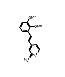 C=C/C=C(\C=C/C)/C=C/c1cccc(OC)c1OC